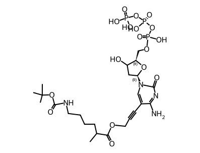 CC(CCCCNC(=O)OC(C)(C)C)C(=O)OCC#Cc1cn([C@H]2CC(O)[C@@H](COP(=O)(O)OP(=O)(O)OP(=O)(O)O)O2)c(=O)nc1N